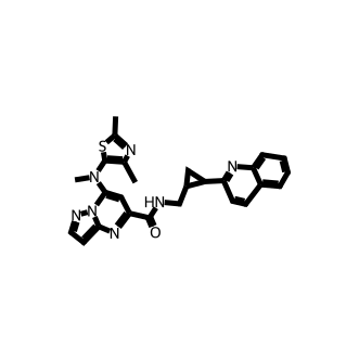 Cc1nc(C)c(N(C)c2cc(C(=O)NCC3CC3c3ccc4ccccc4n3)nc3ccnn23)s1